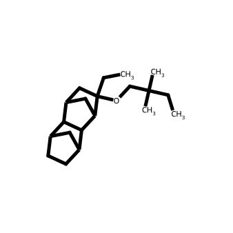 CCC(C)(C)COC1(CC)CC2CC1C1C3CCC(C3)C21